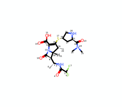 C[C@@H](NC(=O)C(F)F)[C@H]1C(=O)N2C(C(=O)O)=C(S[C@@H]3CN[C@@H](C(=O)N(C)C)C3)[C@H](C)[C@H]12